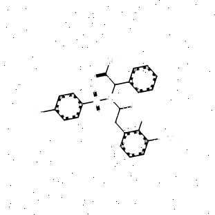 COc1cccc(CC(F)N(C(C(N)=O)c2ccccc2)S(=O)(=O)c2ccc(Cl)cc2)c1F